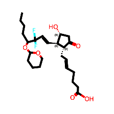 CCCCC(OC1CCCCO1)C(F)(F)C=C[C@H]1[C@H](O)CC(=O)[C@@H]1CC=CCCCC(=O)O